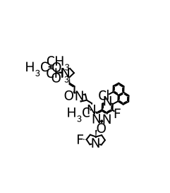 CN(CC1CN(C(=O)/C=C/[C@@H]2CCN2C(=O)OC(C)(C)C)C1)c1nc(OC[C@@]23CCCN2C[C@H](F)C3)nc2c(F)c(-c3cccc4cccc(Cl)c34)ncc12